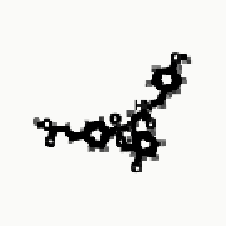 COC(=O)CCc1ccc(S(=O)(=O)N(CC(=O)NCc2ccc(OC)cc2)c2cccc(Cl)c2C)cc1